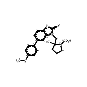 CC(C)(C)[C@]1(Cn2c(=O)oc3ccc(-c4ccc(OC(F)(F)F)cc4)cc32)CCCN1C(=O)O